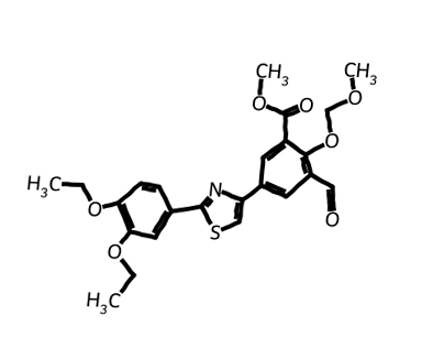 CCOc1ccc(-c2nc(-c3cc(C=O)c(OCOC)c(C(=O)OC)c3)cs2)cc1OCC